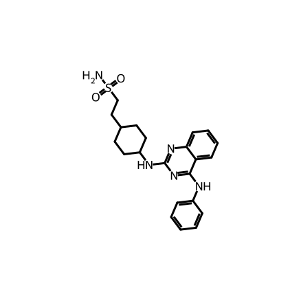 NS(=O)(=O)CCC1CCC(Nc2nc(Nc3ccccc3)c3ccccc3n2)CC1